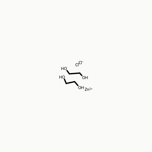 OCCO.OCCO.[Cl-].[Cl-].[Zn+2]